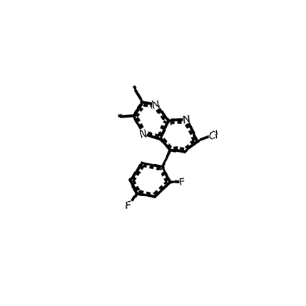 Cc1nc2nc(Cl)cc(-c3ccc(F)cc3F)c2nc1C